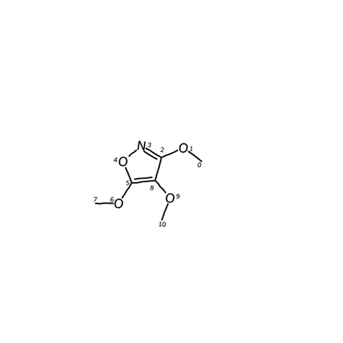 COc1noc(OC)c1OC